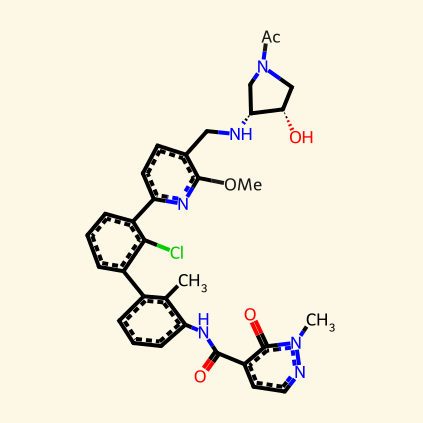 COc1nc(-c2cccc(-c3cccc(NC(=O)c4ccnn(C)c4=O)c3C)c2Cl)ccc1CN[C@@H]1CN(C(C)=O)C[C@@H]1O